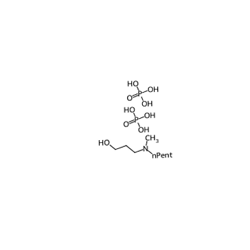 CCCCCN(C)CCCO.O=P(O)(O)O.O=P(O)(O)O